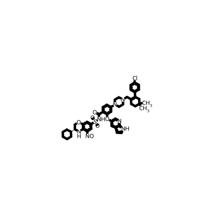 CC1(C)CCC(CN2CCN(c3ccc(C(=O)NS(=O)(=O)c4cc(N=O)c5c(c4)OC[C@@H](C4CCCCC4)N5)c(Oc4cnc5[nH]ccc5c4)c3)CC2)=C(c2ccc(Cl)cc2)C1